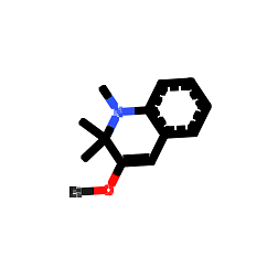 CCOC1=Cc2ccccc2N(C)C1(C)C